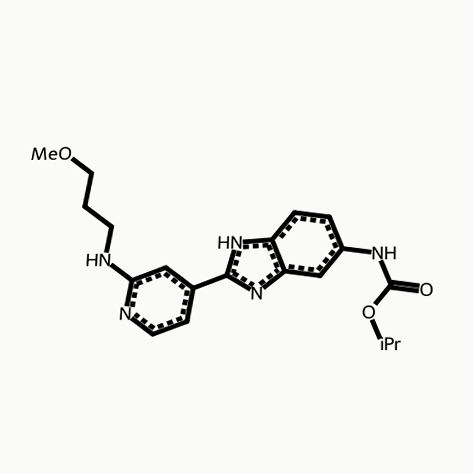 COCCCNc1cc(-c2nc3cc(NC(=O)OC(C)C)ccc3[nH]2)ccn1